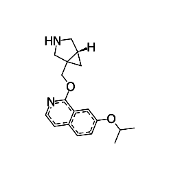 CC(C)Oc1ccc2ccnc(OCC34CNC[C@@H]3C4)c2c1